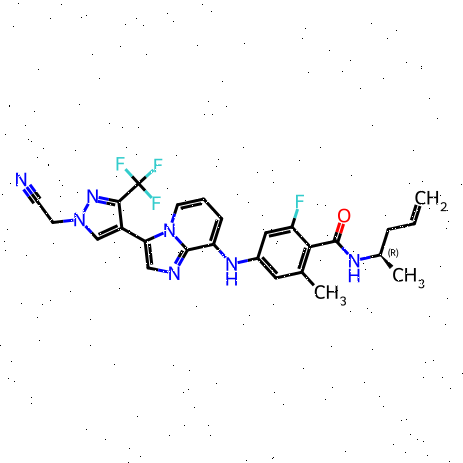 C=CC[C@@H](C)NC(=O)c1c(C)cc(Nc2cccn3c(-c4cn(CC#N)nc4C(F)(F)F)cnc23)cc1F